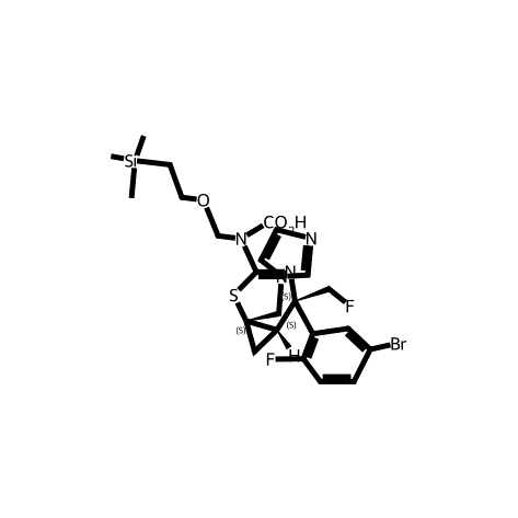 C[Si](C)(C)CCOCN(C(=O)O)C1=N[C@](CF)(c2cc(Br)ccc2F)[C@@H]2C[C@]2(Cn2ccnc2)S1